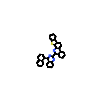 c1ccc2c(-c3nc(-c4nc5c(ccc6c7ccccc7sc65)c5ccccc45)nc4ccccc34)cccc2c1